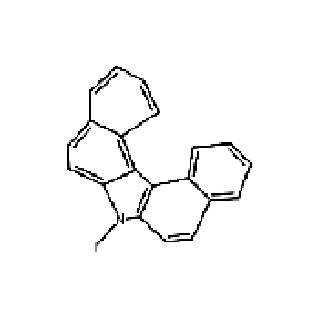 In1c2ccc3ccccc3c2c2c3ccccc3ccc21